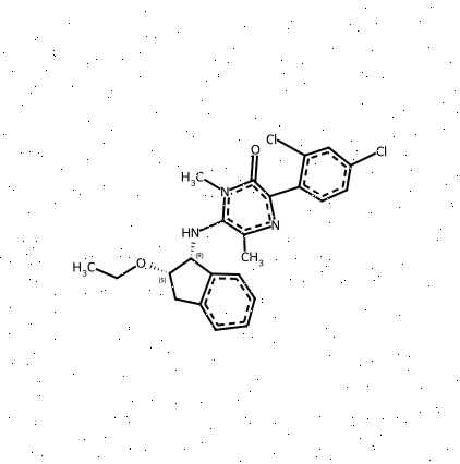 CCO[C@H]1Cc2ccccc2[C@H]1Nc1c(C)nc(-c2ccc(Cl)cc2Cl)c(=O)n1C